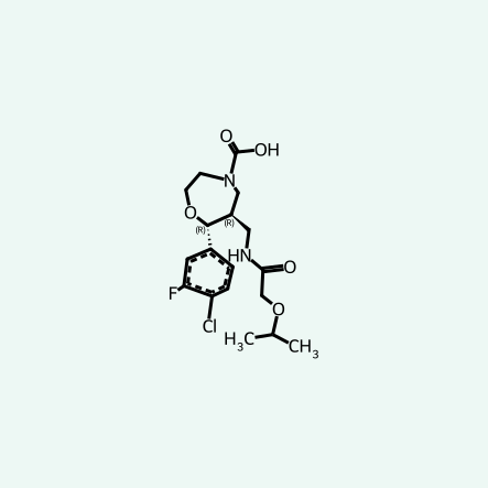 CC(C)OCC(=O)NC[C@@H]1CN(C(=O)O)CCO[C@H]1c1ccc(Cl)c(F)c1